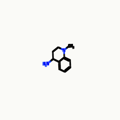 CN1CCC(N)c2ccccc21